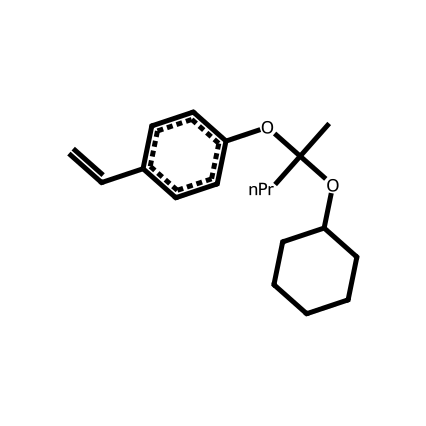 C=Cc1ccc(OC(C)(CCC)OC2CCCCC2)cc1